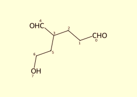 O=CCCC(C=O)CCO